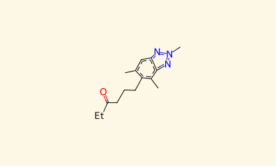 CCC(=O)CCCc1c(C)cc2nn(C)nc2c1C